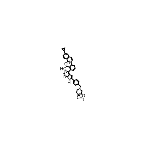 CN1CCN(Cc2ccc(-c3cc4c(-c5cccc(-n6ccc7cc(C8CC8)ccc7c6=O)c5CO)ncnc4[nH]3)cc2)CC1=O